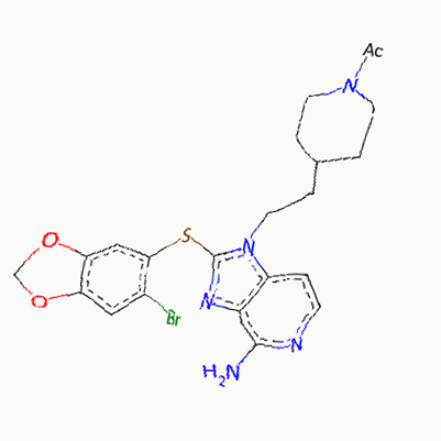 CC(=O)N1CCC(CCn2c(Sc3cc4c(cc3Br)OCO4)nc3c(N)nccc32)CC1